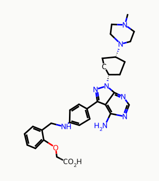 CN1CCN([C@H]2CC[C@@H](n3nc(-c4ccc(NCc5ccccc5OCC(=O)O)cc4)c4c(N)ncnc43)CC2)CC1